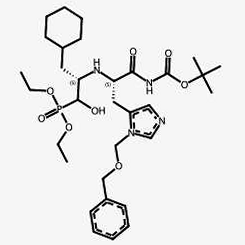 CCOP(=O)(OCC)C(O)[C@H](CC1CCCCC1)N[C@@H](Cc1cncn1COCc1ccccc1)C(=O)NC(=O)OC(C)(C)C